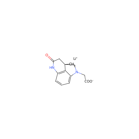 CC12CC(=O)Nc3cccc(c31)N(CC(=O)[O-])C2.[Li+]